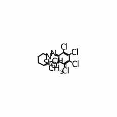 C[Si]1(C)CCCCN1N=C1C(=O)C(Cl)=C(Cl)C(Cl)=C1Cl